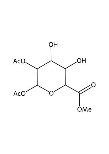 COC(=O)C1OC(OC(C)=O)C(OC(C)=O)C(O)C1O